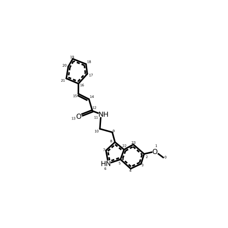 COc1ccc2[nH]cc(CCNC(=O)/C=C/c3ccccc3)c2c1